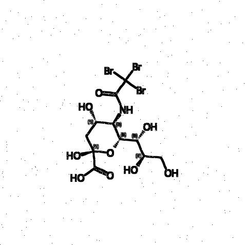 O=C(N[C@H]1[C@H]([C@H](O)[C@H](O)CO)O[C@](O)(C(=O)O)C[C@@H]1O)C(Br)(Br)Br